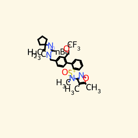 C=CC1(/N=C(/CCCC)N(C)Cc2ccc(-c3ccccc3[S+]([O-])N(C)c3noc(C)c3C)c(COC(F)(F)F)c2)CCCC1